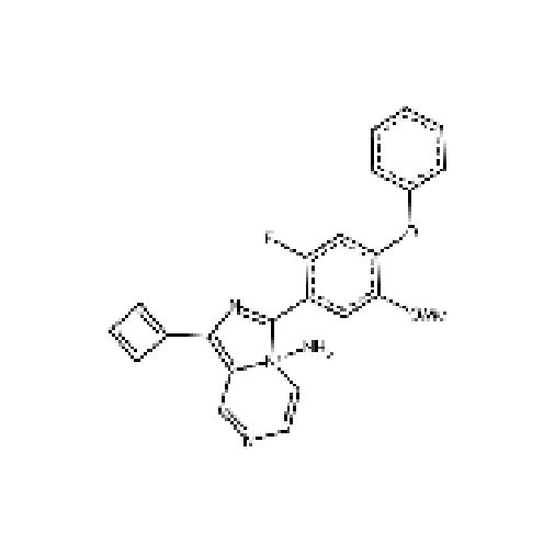 COc1cc(C2=NC(C3=CC=C3)=C3C=NC=C[N+]23N)c(F)cc1Oc1ccccc1